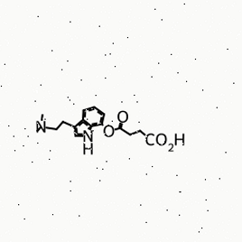 CN(C)CCc1c[nH]c2c(OC(=O)CCC(=O)O)cccc12